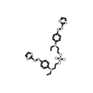 CCN(CCOS(=O)(=O)OCCN(CC)c1ccc(/N=N/c2nccs2)cc1)c1ccc(/N=N/c2nccs2)cc1